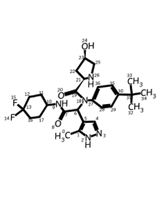 Cc1[nH]ncc1C(C(=O)NC1CCC(F)(F)CC1)N(C(=O)[C@H]1C[C@@H](O)CN1)c1ccc(C(C)(C)C)cc1